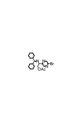 CC(=O)OCC(N=C(c1ccccc1)c1ccccc1)c1cnc(Br)cn1